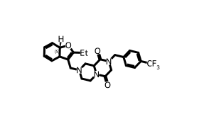 CCC1=C(CN2CCN3C(=O)CN(Cc4ccc(C(F)(F)F)cc4)C(=O)C3C2)C2C=CC=C[C@@H]2O1